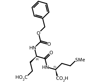 CSCC[C@H](NC(=O)[C@@H](CCC(=O)O)NC(=O)OCc1ccccc1)C(=O)O